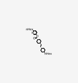 CCCCCCc1ccc(OC(=O)[C@H]2CC[C@H](CC[C@H]3CC[C@H](CCCCCC)CC3)CC2)cn1